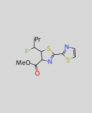 COC(=O)C1N=C(c2nccs2)SC1C(F)C(C)C